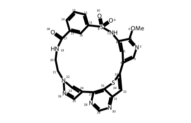 COc1ncc2cc1NS(=O)(=O)c1cccc(c1)C(=O)NCCn1cc(cn1)-c1ncnc3cc-2sc13